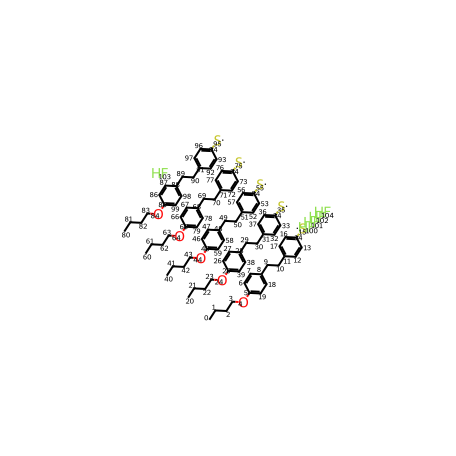 CCCCOc1ccc(CCc2ccc([S])cc2)cc1.CCCCOc1ccc(CCc2ccc([S])cc2)cc1.CCCCOc1ccc(CCc2ccc([S])cc2)cc1.CCCCOc1ccc(CCc2ccc([S])cc2)cc1.CCCCOc1ccc(CCc2ccc([S])cc2)cc1.F.F.F.F.F